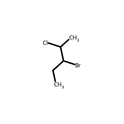 CCC(Br)C(C)Cl